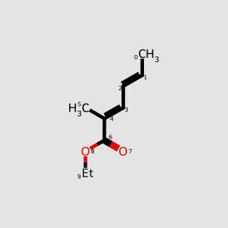 C/C=C/C=C(\C)C(=O)OCC